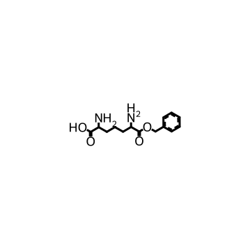 NC(CCCC(N)C(=O)OCc1ccccc1)C(=O)O